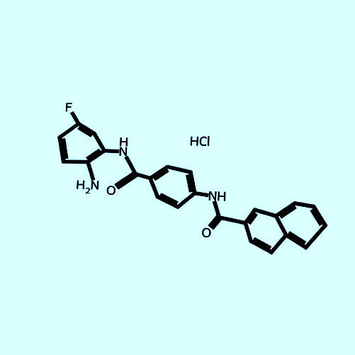 Cl.Nc1ccc(F)cc1NC(=O)c1ccc(NC(=O)c2ccc3ccccc3c2)cc1